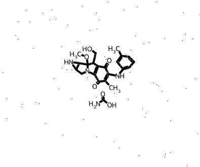 COC12C(CO)C3=C(C(=O)C(C)=C(Nc4cccc(C)c4)C3=O)N1CC1NC12.NC(=O)O